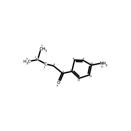 CN(C)CCC(=O)c1ccc(N)cc1